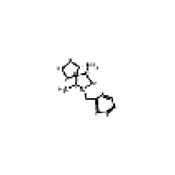 CC1N(Cc2ccccc2)CC(N)C12CCCC2